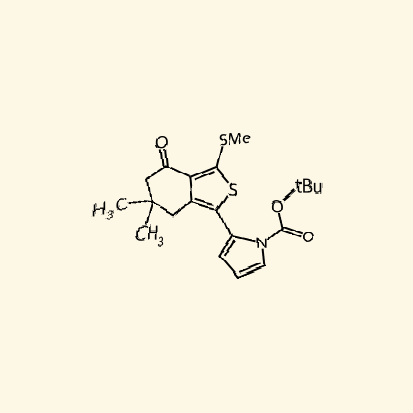 CSc1sc(-c2cccn2C(=O)OC(C)(C)C)c2c1C(=O)CC(C)(C)C2